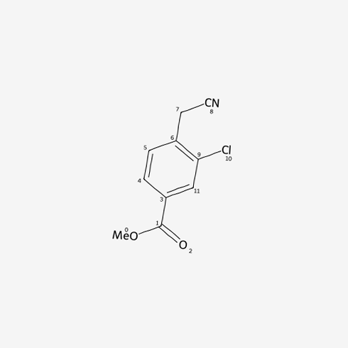 COC(=O)c1ccc(CC#N)c(Cl)c1